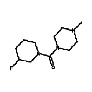 CN1CCN(C(=O)N2CCCC(F)C2)CC1